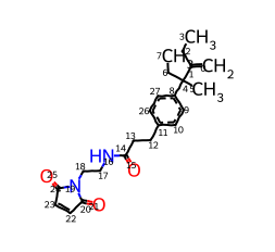 C=C(CC)C(C)(CC)c1ccc(CCC(=O)NCCN2C(=O)C=CC2=O)cc1